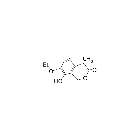 CCOc1ccc2c(c1O)COC(=O)C2C